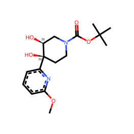 COc1cccc([C@@]2(O)CCN(C(=O)OC(C)(C)C)C[C@@H]2O)n1